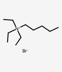 CCCCC[N+](CC)(CC)CC.[Br-]